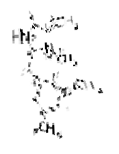 C=C1CNC(Cc2cc(C)cc(C)c2)N1C